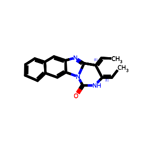 C/C=c1/[nH]c(=O)n2c(nc3cc4ccccc4cc32)/c1=C/C